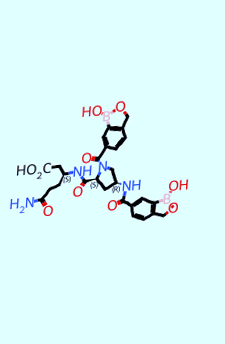 NC(=O)CC[C@@H](CC(=O)O)NC(=O)[C@@H]1C[C@@H](NC(=O)c2ccc3c(c2)B(O)OC3)CN1C(=O)c1ccc2c(c1)B(O)OC2